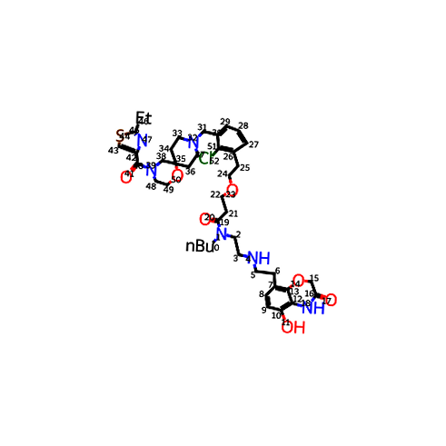 CCCCN(CCNCCc1ccc(O)c2c1OCC(=O)N2)C(=O)CCOCCc1cccc(CN2CCC3(CC2)CN(C(=O)c2csc(CC)n2)CCO3)c1Cl